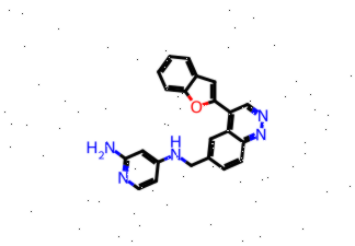 Nc1cc(NCc2ccc3nncc(-c4cc5ccccc5o4)c3c2)ccn1